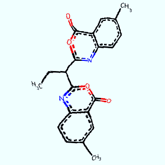 CCC(c1nc2ccc(C)cc2c(=O)o1)c1nc2ccc(C)cc2c(=O)o1